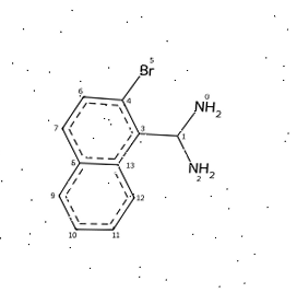 NC(N)c1c(Br)ccc2ccccc12